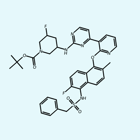 Cc1ccc2c(NS(=O)(=O)Cc3ccccc3)c(F)ccc2c1Oc1ncccc1-c1ccnc(NC2CC(F)CN(C(=O)OC(C)(C)C)C2)n1